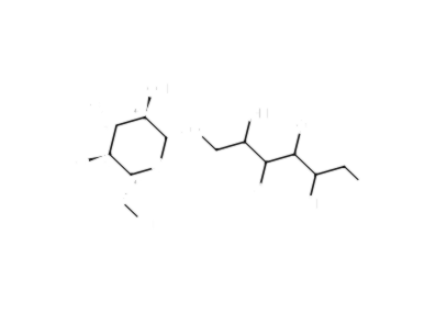 OCC(O)C(O)C(O)C(O)CO[C@@H]1O[C@H](CO)[C@@H](O)[C@H](O)[C@H]1O